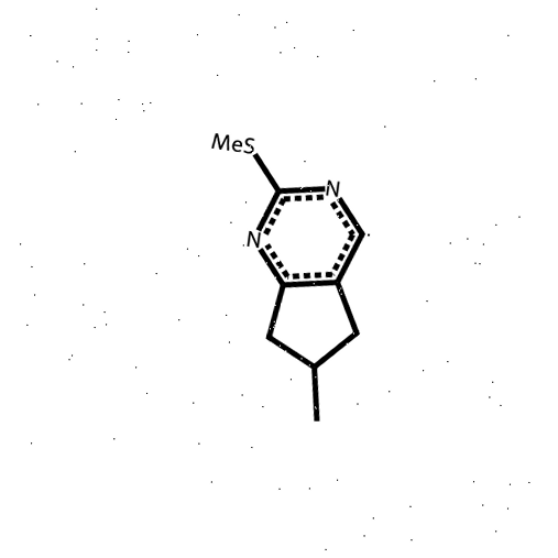 CSc1n[c]c2c(n1)CC(C)C2